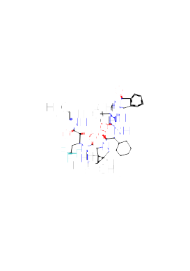 C=CCNC(=O)C(=O)C(CC(F)(F)F)NC(=O)[C@@H]1[C@@H]2[C@H](CN1C(=O)[C@@H](NC(=O)N[C@H](CN1Cc3ccccc3C1=O)C(C)(C)C)C1CCCCC1)C2(C)C